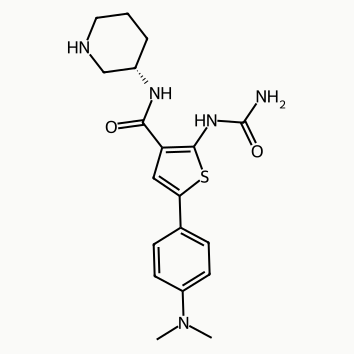 CN(C)c1ccc(-c2cc(C(=O)N[C@H]3CCCNC3)c(NC(N)=O)s2)cc1